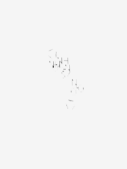 Nc1ccccc1NC(=O)c1nc2c(s1)CN(C(=O)OCc1ccccc1)CC2